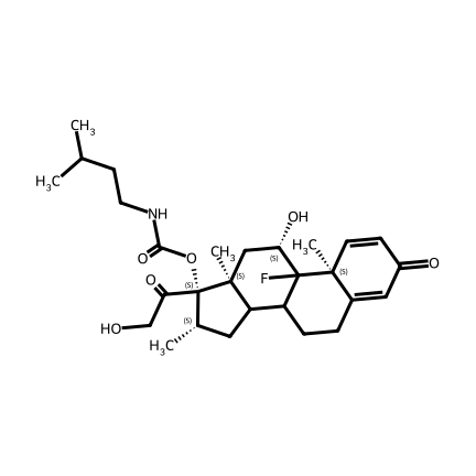 CC(C)CCNC(=O)O[C@@]1(C(=O)CO)[C@@H](C)CC2C3CCC4=CC(=O)C=C[C@]4(C)C3(F)[C@@H](O)C[C@@]21C